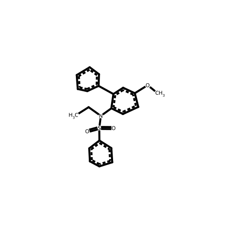 CCN(c1ccc(OC)cc1-c1ccccc1)S(=O)(=O)c1ccccc1